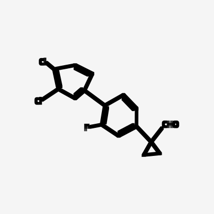 O=CC1(c2ccc(-c3ccc(Cl)c(Cl)c3)c(F)c2)CC1